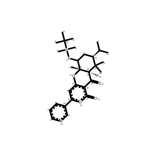 CC(C)[C@@H]1CC(O[Si](C)(C)C(C)(C)C)[C@@]2(C)Oc3cc(-c4cccnc4)oc(=O)c3C(=O)[C@@H]2C1(C)C